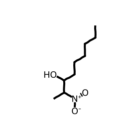 CCCCCCC(O)C(C)[N+](=O)[O-]